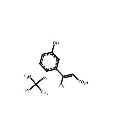 CC(C)C(C)(N)C(C)C.N#CC(=CC(=O)O)c1cccc(O)c1